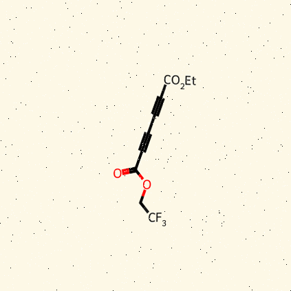 CCOC(=O)C#CC#CC(=O)OCC(F)(F)F